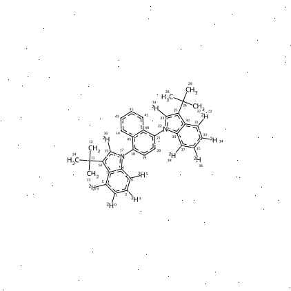 [2H]c1c([2H])c([2H])c2c(c1[2H])c(C(C)(C)C)c([2H])n2-c1ccc(-n2c([2H])c(C(C)(C)C)c3c([2H])c([2H])c([2H])c([2H])c32)c2ccccc12